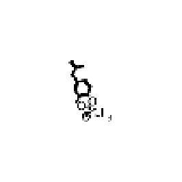 C=C(C)Cc1ccc(OS(=O)(=O)C(F)(F)F)c(C)c1